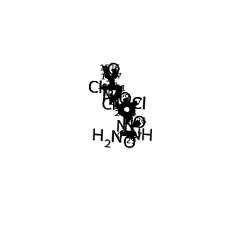 Nc1nn(-c2cc(Cl)c(Oc3cc(C4CCOC4)c(Cl)nn3)c(Cl)c2)c(=O)[nH]c1=O